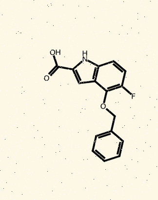 O=C(O)c1cc2c(OCc3ccccc3)c(F)ccc2[nH]1